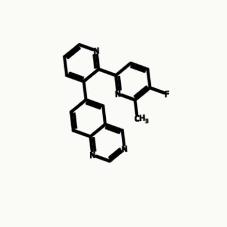 Cc1nc(-c2ncccc2-c2ccc3ncncc3c2)ccc1F